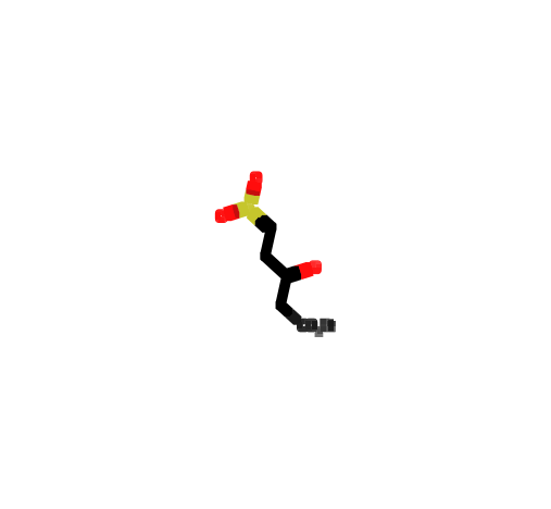 CCOC(=O)CC(=O)CC=S(=O)=O